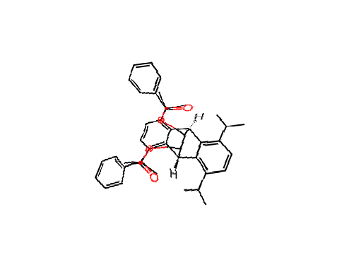 CC(C)c1ccc(C(C)C)c2c1[C@H]1c3c(C(C)C)ccc(C(C)C)c3[C@H]2C(OC(=O)c2ccccc2)C1OC(=O)c1ccccc1